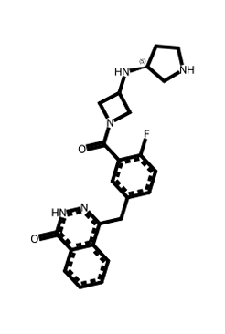 O=C(c1cc(Cc2n[nH]c(=O)c3ccccc23)ccc1F)N1CC(N[C@H]2CCNC2)C1